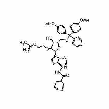 COc1ccc(C(OC[C@H]2O[C@@H](n3cnc4c(NC(=O)c5ccccc5)ncnc43)C(OCCON(C)C)C2O)(c2ccccc2)c2ccc(OC)cc2)cc1